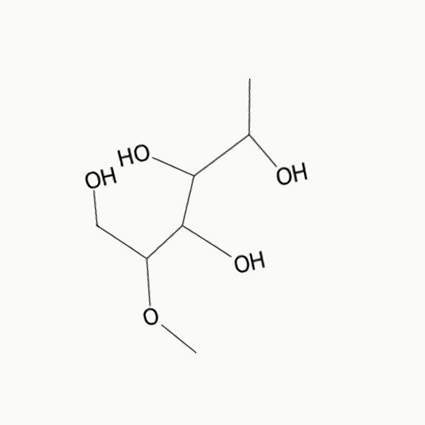 COC(CO)C(O)C(O)C(C)O